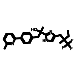 CCC(C)(Cc1c[nH]c(C(C)(O)Cc2ccc(-c3cccc(C)n3)cc2)n1)C(F)(F)F